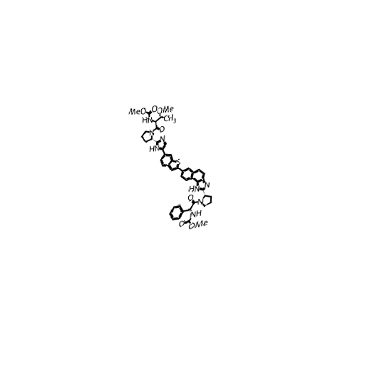 COC(=O)NC(C(=O)N1CCC[C@H]1c1ncc(-c2ccc3cc(-c4ccc5c(ccc6nc([C@@H]7CCCN7C(=O)[C@H](NC(=O)OC)c7ccccc7)[nH]c65)c4)sc3c2)[nH]1)[C@H](C)OC